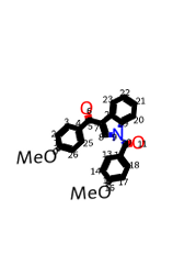 COc1ccc(C(=O)c2cn(C(=O)c3ccc(OC)cc3)c3ccccc23)cc1